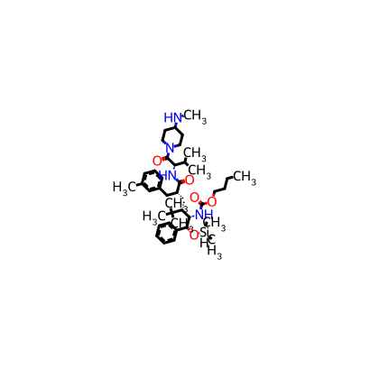 CCCCOC(=O)N[C@H](C(O[SiH](C)C)c1ccccc1)[C@@H](C[C@H](Cc1cccc(C)c1)C(=O)N[C@H](C(=O)N1CCC(NC)CC1)C(C)C)C(C)(C)C